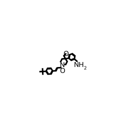 CC(C)(C)c1ccc(C=CC(=O)N2CCC3(CC2)COc2ccc(CN)cc23)cc1